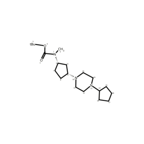 CN(C(=O)OC(C)(C)C)[C@H]1CC[C@@H](N2CCN(C3CCCC3)CC2)C1